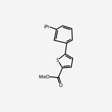 COC(=O)c1ccc(-c2cccc(C(C)C)c2)s1